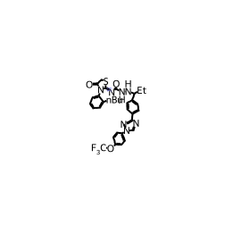 CCCCc1ccccc1N1C(=O)CS/C1=N\C(=O)NNC(CC)c1ccc(-c2ncn(-c3ccc(OC(F)(F)F)cc3)n2)cc1